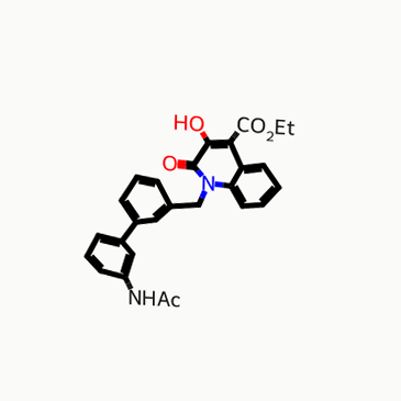 CCOC(=O)c1c(O)c(=O)n(Cc2cccc(-c3cccc(NC(C)=O)c3)c2)c2ccccc12